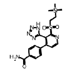 C[Si](C)(C)CCS(=O)(=O)c1nccc(-c2ccc(C(N)=O)cc2)c1-c1nnn[nH]1